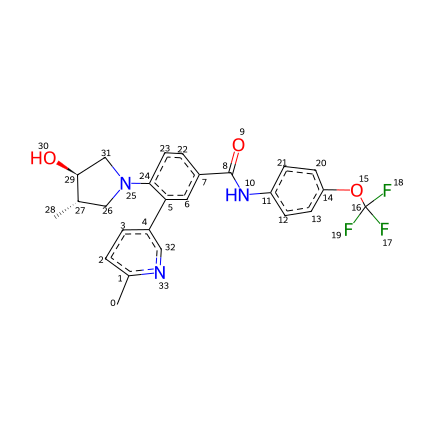 Cc1ccc(-c2cc(C(=O)Nc3ccc(OC(F)(F)F)cc3)ccc2N2C[C@H](C)[C@@H](O)C2)cn1